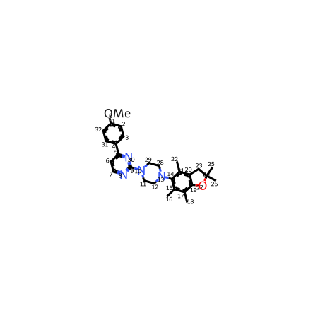 COc1ccc(-c2ccnc(N3CCN(c4c(C)c(C)c5c(c4C)CC(C)(C)O5)CC3)n2)cc1